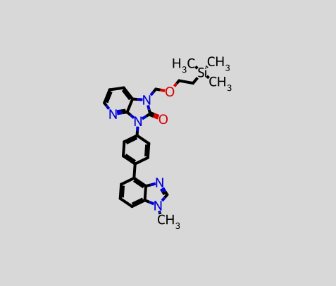 Cn1cnc2c(-c3ccc(-n4c(=O)n(COCC[Si](C)(C)C)c5cccnc54)cc3)cccc21